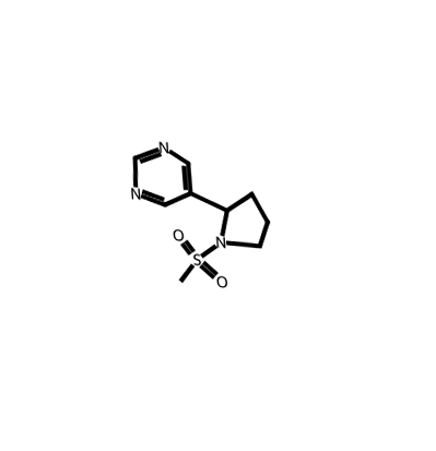 CS(=O)(=O)N1CCCC1c1cncnc1